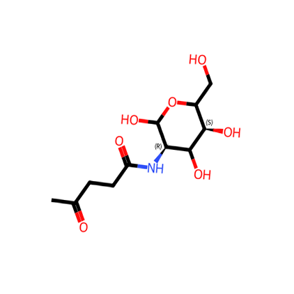 CC(=O)CCC(=O)N[C@H]1C(O)OC(CO)[C@@H](O)C1O